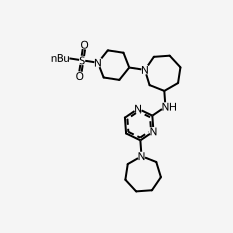 CCCCS(=O)(=O)N1CCC(N2CCCCC(Nc3nccc(N4CCCCCC4)n3)C2)CC1